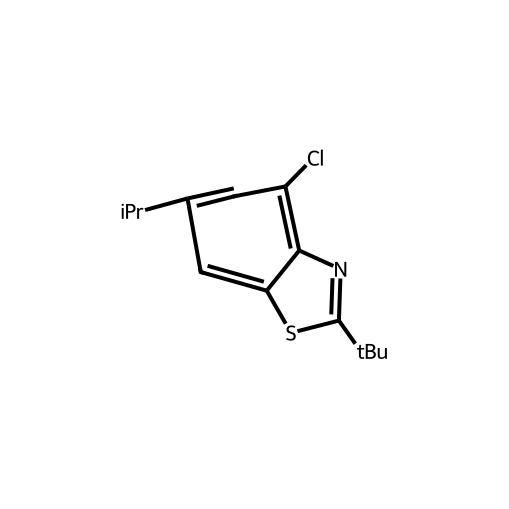 CC(C)c1cc(Cl)c2nc(C(C)(C)C)sc2c1